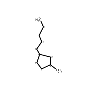 CCCCCC1CCC(C)C1